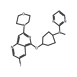 CN(c1ncccn1)C1CCC(Oc2nc(N3CCOCC3)cc3ncc(I)cc23)CC1